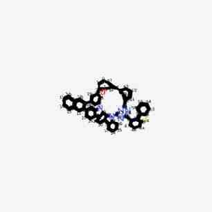 C1=Cc2c3oc4c(cc(-c5ccc6ccccc6c5)cc24)-n2c4ccccc4c4ccc5c6ccccc6n(c5c42)-c2nc(nc(-c4cccc5sc6ccccc6c45)n2)-c2cccc(c2)C(=C1)C3